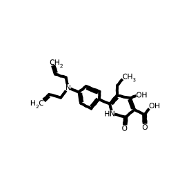 C=CCN(CC=C)c1ccc(-c2[nH]c(=O)c(C(=O)O)c(O)c2CC)cc1